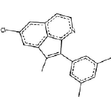 CC1=C(c2cc(C)cc(C)c2)c2nccc3cc(Cl)cc1c23